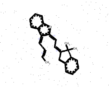 C/C=C/C=c1\c(=C/C=C2/Cc3ccccc3C2(C)C)oc2ccccc12